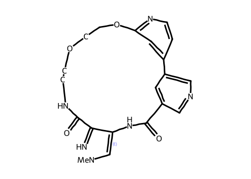 CN/C=C1/NC(=O)c2cncc(c2)-c2ccnc(c2)OCCOCCNC(=O)C1=N